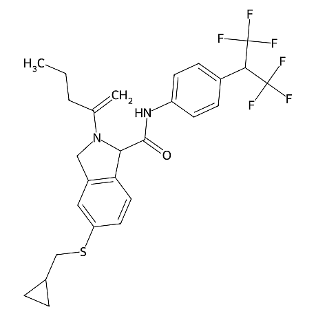 C=C(CCC)N1Cc2cc(SCC3CC3)ccc2C1C(=O)Nc1ccc(C(C(F)(F)F)C(F)(F)F)cc1